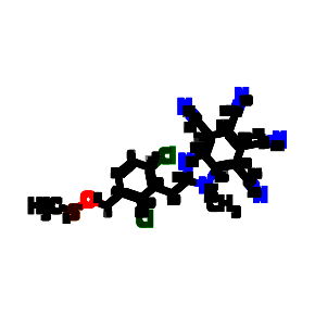 CSOCc1ccc(Cl)c(Cc2nc3c(C#N)c(C#N)c(C#N)c(C#N)c3n2C)c1Cl